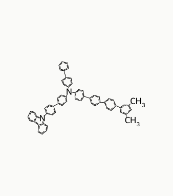 Cc1cc(C)cc(-c2ccc(-c3ccc(-c4ccc(N(c5ccc(-c6ccccc6)cc5)c5ccc(-c6ccc(-n7c8ccccc8c8ccccc87)cc6)cc5)cc4)cc3)cc2)c1